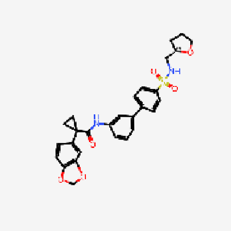 O=C(Nc1cccc(-c2ccc(S(=O)(=O)NC[C@H]3CCCO3)cc2)c1)C1(c2ccc3c(c2)OCO3)CC1